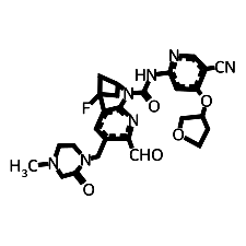 CN1CCN(Cc2cc3c(nc2C=O)N(C(=O)Nc2cc(OC4CCOC4)c(C#N)cn2)C2CC3(F)C2)C(=O)C1